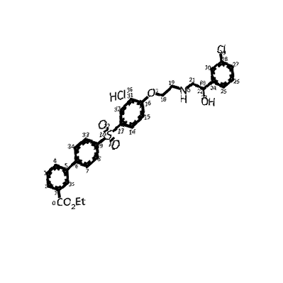 CCOC(=O)c1cccc(-c2ccc(S(=O)(=O)c3ccc(OCCNC[C@H](O)c4cccc(Cl)c4)cc3)cc2)c1.Cl